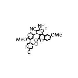 COc1ccc2oc(=O)c3c(c2c1)OC(N)=C(C#N)C3c1ccc(OC)c(-c2cnc(Cl)cc2Cl)c1